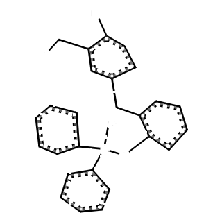 CC(C)(C)[Si](Oc1ccccc1Cc1ccc(O)c(CO)c1)(c1ccccc1)c1ccccc1